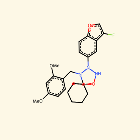 COc1ccc(CN2N(c3ccc4occ(F)c4c3)NO[C@@]23CC2CCC3CC2)c(OC)c1